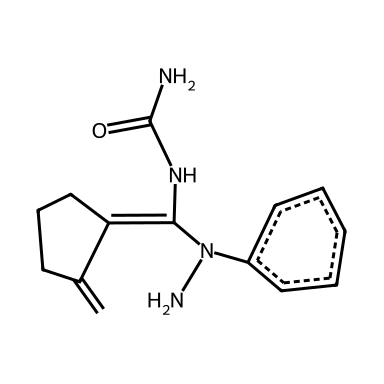 C=C1CCC/C1=C(\NC(N)=O)N(N)c1ccccc1